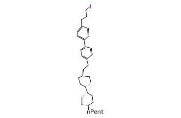 CCCCC[C@H]1CC[C@H]([C@H]2CC[C@H](CCc3ccc(-c4ccc(CCCI)cc4)cc3)CC2)CC1